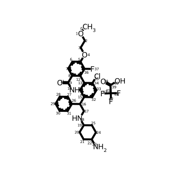 COCCOc1ccc(C(N)=O)c(-c2cc(C(CNC3CCC(N)CC3)c3ccccc3)ccc2Cl)c1F.O=C(O)C(F)(F)F